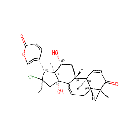 CC1(Cl)C[C@]2(O)C3=CC[C@H]4C(C)(C)C(=O)C=C[C@]4(C)[C@H]3C[C@@H](O)[C@]2(C)[C@H]1c1ccc(=O)oc1